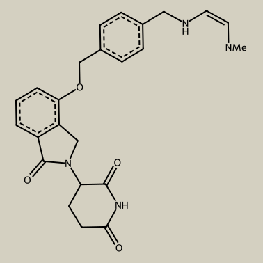 CN/C=C\NCc1ccc(COc2cccc3c2CN(C2CCC(=O)NC2=O)C3=O)cc1